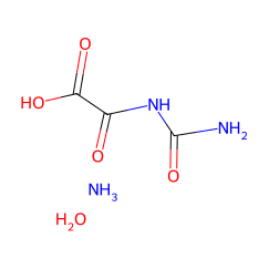 N.NC(=O)NC(=O)C(=O)O.O